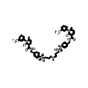 Cc1ccc(C(=O)NCc2ccc(S(=O)(=O)NCCCN(C)CCCNS(=O)(=O)c3ccc(CNC(=O)c4ccc(C)n(-c5cccc(C(F)(F)F)c5)c4=O)cc3)cc2)c(=O)n1-c1cccc(C(F)(F)F)c1